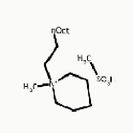 CCCCCCCCCC[N+]1(C)CCCCC1.CS(=O)(=O)O